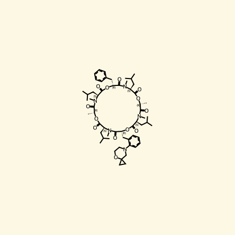 CC(C)C[C@H]1C(=O)O[C@H](Cc2ccccc2N2CCOC3(CC3)C2)C(=O)N(C)[C@@H](CC(C)C)C(=O)O[C@H](C)C(=O)N(C)[C@@H](CC(C)C)C(=O)O[C@H](Cc2ccccc2)C(=O)N(C)[C@@H](CC(C)C)C(=O)O[C@H](C)C(=O)N1C